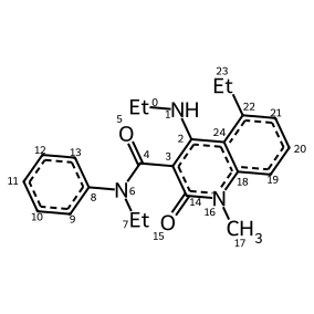 CCNc1c(C(=O)N(CC)c2ccccc2)c(=O)n(C)c2cccc(CC)c12